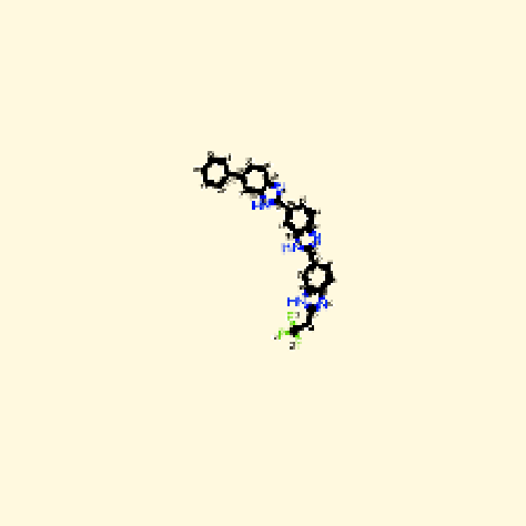 FC(F)(F)Cc1nc2ccc(-c3nc4ccc(-c5nc6ccc(-c7ccccc7)cc6[nH]5)cc4[nH]3)cc2[nH]1